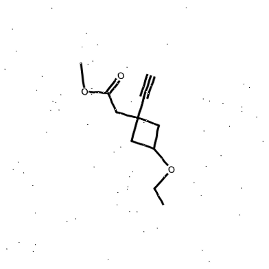 C#CC1(CC(=O)OC)CC(OCC)C1